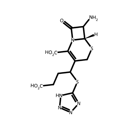 NC1C(=O)N2C(C(=O)O)=C(C(CCC(=O)O)Sc3nnn[nH]3)CS[C@@H]12